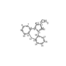 Cc1nc2c(s1)-c1ccccc1Cc1ccccc1-2